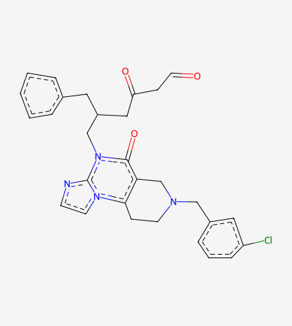 O=CCC(=O)CC(Cc1ccccc1)Cn1c(=O)c2c(n3ccnc13)CCN(Cc1cccc(Cl)c1)C2